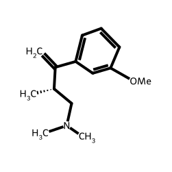 C=C(c1cccc(OC)c1)[C@@H](C)CN(C)C